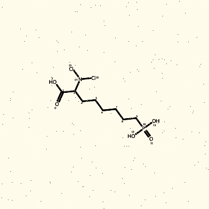 O=C(O)C(CCCCCCP(=O)(O)O)N(Cl)Cl